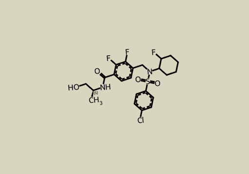 C[C@@H](CO)NC(=O)c1ccc(CN(C2CCCCC2F)S(=O)(=O)c2ccc(Cl)cc2)c(F)c1F